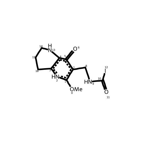 COc1[nH]c2c(c(=O)c1CNC(=O)I)NCCC2